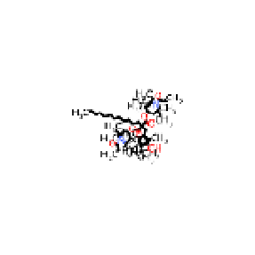 C=CC(=O)N1C(C)(CC)CC(OC(=O)C(CCCCCCCCCCCC)(Cc2c(C)cc(C(C)(C)C)c(O)c2C)C(=O)OC2CC(C)(CC)N(C(=O)C=C)C(C)(CC)C2C)C(C)C1(C)CC